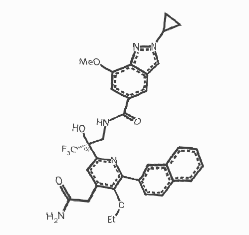 CCOc1c(CC(N)=O)cc([C@@](O)(CNC(=O)c2cc(OC)c3nn(C4CC4)cc3c2)C(F)(F)F)nc1-c1ccc2ccccc2c1